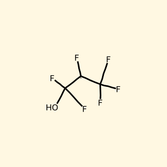 OC(F)(F)[C](F)C(F)(F)F